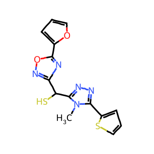 Cn1c(-c2cccs2)nnc1C(S)c1noc(-c2ccco2)n1